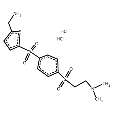 CN(C)CCS(=O)(=O)c1ccc(S(=O)(=O)c2ccc(CN)s2)cc1.Cl.Cl